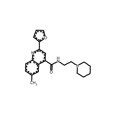 Cc1ccc2nc(-c3ccco3)cc(C(=O)NCCN3CCCCC3)c2c1